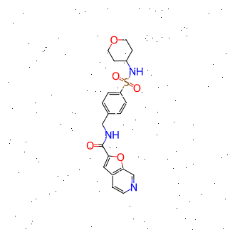 O=C(NCc1ccc(S(=O)(=O)NC2CCOCC2)cc1)c1cc2ccncc2o1